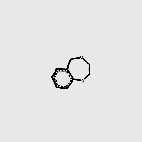 [CH]1COCc2ccccc2O1